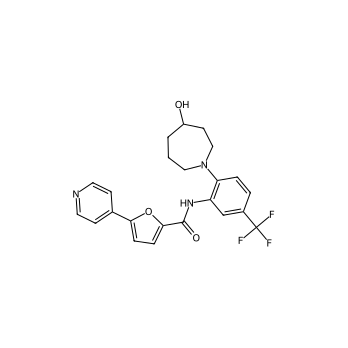 O=C(Nc1cc(C(F)(F)F)ccc1N1CCCC(O)CC1)c1ccc(-c2ccncc2)o1